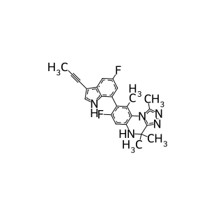 CC#Cc1c[nH]c2c(-c3c(F)cc4c(c3C)-n3c(C)nnc3C(C)(C)N4)cc(F)cc12